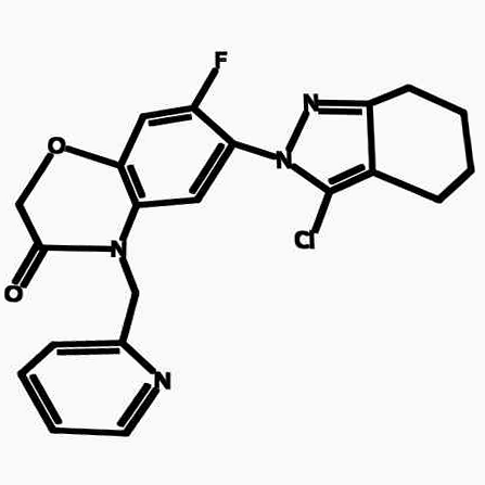 O=C1COc2cc(F)c(-n3nc4c(c3Cl)CCCC4)cc2N1Cc1ccccn1